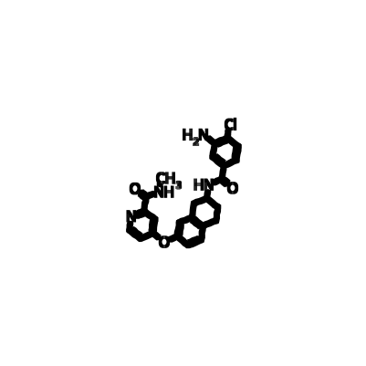 CNC(=O)c1cc(Oc2ccc3c(c2)CC(NC(=O)c2ccc(Cl)c(N)c2)CC3)ccn1